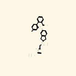 Cc1csc(CNC2Cc3ccc(NC(=O)c4ccccc4-c4ccc(Cl)cc4)cc3C2)n1